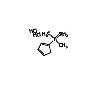 Cl.Cl.[CH3][Ti]([CH3])(=[SiH2])[C]1=CC=CC1